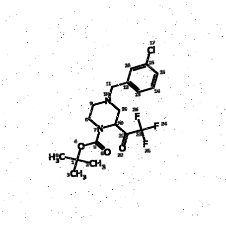 CC(C)(C)OC(=O)N1CCN(Cc2cccc(Cl)c2)CC1C(=O)C(F)(F)F